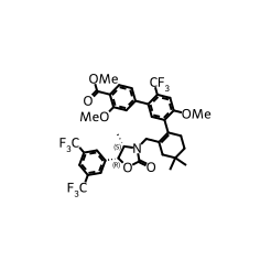 COC(=O)c1ccc(-c2cc(C3=C(CN4C(=O)O[C@H](c5cc(C(F)(F)F)cc(C(F)(F)F)c5)[C@@H]4C)CC(C)(C)CC3)c(OC)cc2C(F)(F)F)cc1OC